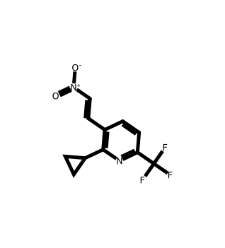 O=[N+]([O-])C=Cc1ccc(C(F)(F)F)nc1C1CC1